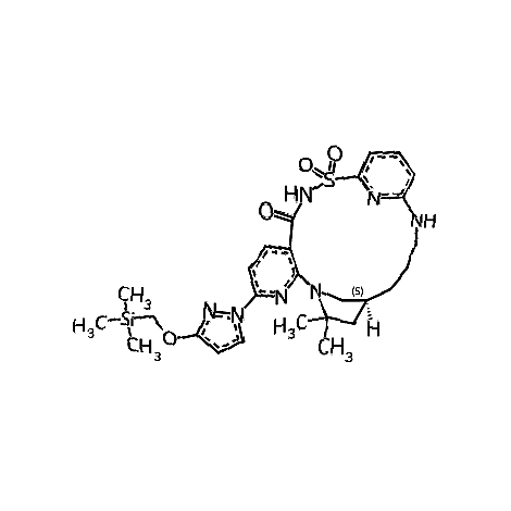 CC1(C)C[C@@H]2CCCNc3cccc(n3)S(=O)(=O)NC(=O)c3ccc(-n4ccc(OC[Si](C)(C)C)n4)nc3N1C2